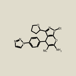 CCn1nc(C2CCCO2)c2c1OC(N)=C(C#N)C2c1ccc(-n2ccnn2)cc1